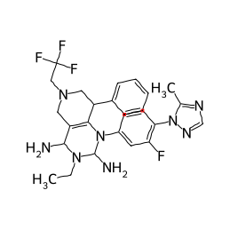 CCN1C(N)C2=C(C(c3ccccc3)CN(CC(F)(F)F)C2)N(c2ccc(-n3ncnc3C)c(F)c2)C1N